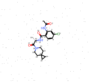 CC(=O)Nc1cc(Cl)ccc1C(=O)N[C@@H](C)C(=O)N1CCC2(CC1)CC2